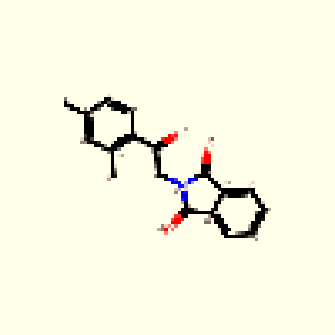 Cc1ccc(C(=O)CN2C(=O)c3ccccc3C2=O)c(C)c1